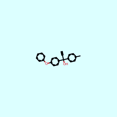 C#CC(O)(c1ccc(C)cc1)c1ccc(Oc2ccccc2)cc1